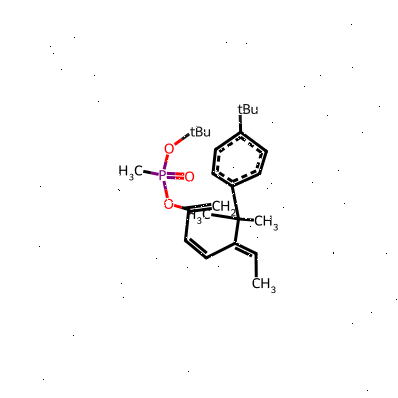 C=C(/C=C\C(=C/C)C(C)(C)c1ccc(C(C)(C)C)cc1)OP(C)(=O)OC(C)(C)C